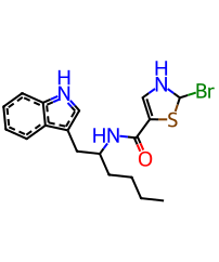 CCCCC(Cc1c[nH]c2ccccc12)NC(=O)C1=CNC(Br)S1